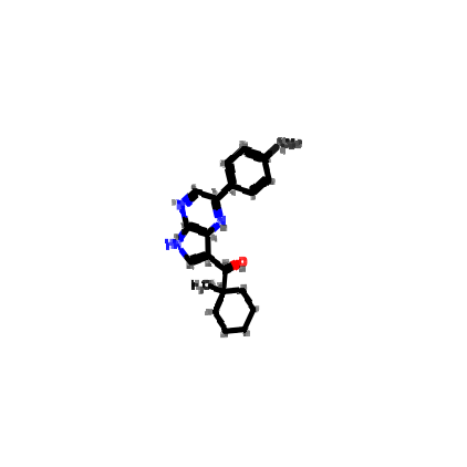 CNc1ccc(-c2cnc3[nH]cc(C(=O)C4(C)CCCCC4)c3n2)cc1